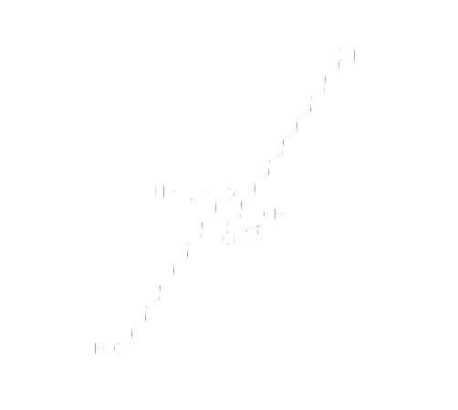 CC1CO1.CCCCCCCCCCCCCCC(CCC)OC(CCC)CCCCCCCCCCCCCC